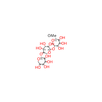 CO[C@H]1OCC(O[C@H]2OC[C@@H](O[C@H]3OC[C@@H](O)[C@@H](O)[C@H](O)[C@@H]3O)[C@@H](O)C(O)[C@@H]2O)[C@@H](O)[C@H](O)[C@@H]1O